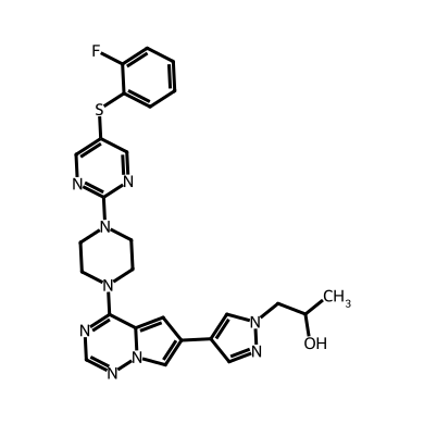 CC(O)Cn1cc(-c2cc3c(N4CCN(c5ncc(Sc6ccccc6F)cn5)CC4)ncnn3c2)cn1